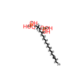 [CH2]C([CH2])(COP(O)O)C(CCCCCCCCCCCCCCCCCC)OP(O)O